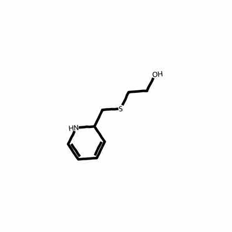 OCCSCC1C=CC=CN1